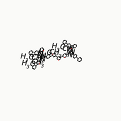 CC1(C)c2ccccc2-c2ccc(-c3nc(-c4ccc5c(c4)C(C)(C)c4ccc(-c6cccc(-c7ccc(-c8nc(-c9ccc(-c%10ccccc%10)cc9)nc(-n9c%10ccccc%10c%10cc%11c(cc%109)C(C)(C)c9ccccc9-%11)n8)cc7)c6)cc4-5)nc(-n4c5ccccc5c5cc6c(cc54)C(C)(C)c4ccccc4-6)n3)cc21